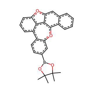 CC1(C)OB(c2ccc3c(c2)oc2c4ccccc4cc4oc5cccc3c5c42)OC1(C)C